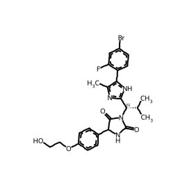 Cc1nc([C@H](C(C)C)N2C(=O)NC(c3ccc(OCCO)cc3)C2=O)[nH]c1-c1ccc(Br)cc1F